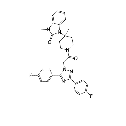 Cn1c(=O)n(C2(C)CCN(C(=O)Cn3nc(-c4ccc(F)cc4)nc3-c3ccc(F)cc3)CC2)c2ccccc21